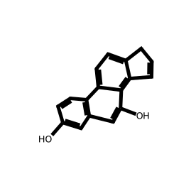 Oc1ccc2c(c1)cc(O)c1c3c(ccc12)CC=C3